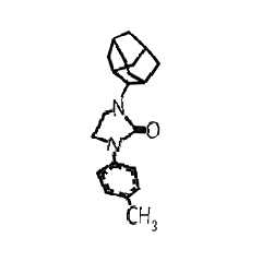 Cc1ccc(N2CCN(C3C4CC5CC(C4)CC3C5)C2=O)cc1